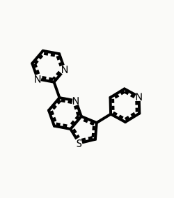 c1cnc(-c2ccc3scc(-c4ccncc4)c3n2)nc1